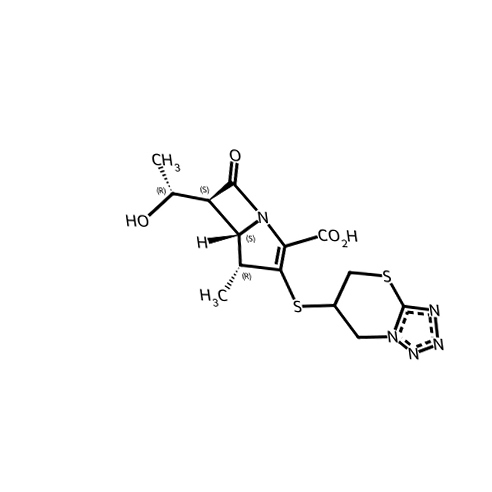 C[C@@H](O)[C@H]1C(=O)N2C(C(=O)O)=C(SC3CSc4nnnn4C3)[C@H](C)[C@H]12